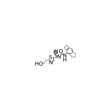 C[C@@H](CO)c1ncc(/[SH](=O)=N/C(=O)Nc2c3c(cc4c2CC4)CCC3)s1